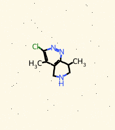 Cc1c(Cl)nnc2c1CNCC2C